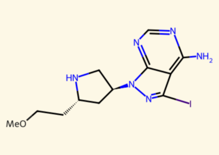 COCC[C@H]1C[C@H](n2nc(I)c3c(N)ncnc32)CN1